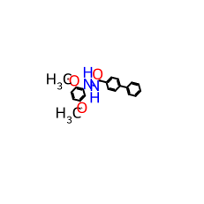 COc1ccc(OC)c(NNC(=O)c2ccc(-c3ccccc3)cc2)c1